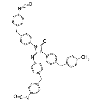 Cc1ccc(Cc2ccc(N3C(=O)N(c4ccc(Cc5ccc(N=C=O)cc5)cc4)/C3=N/c3ccc(Cc4ccc(N=C=O)cc4)cc3)cc2)cc1